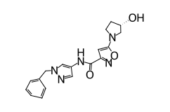 O=C(Nc1cnn(Cc2ccccc2)c1)c1cc(N2CC[C@H](O)C2)on1